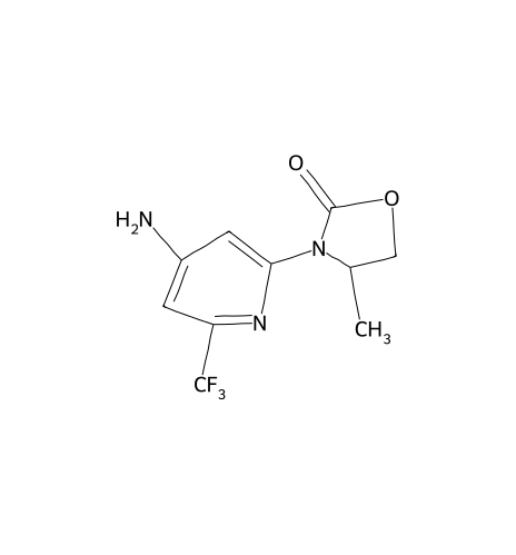 CC1COC(=O)N1c1cc(N)cc(C(F)(F)F)n1